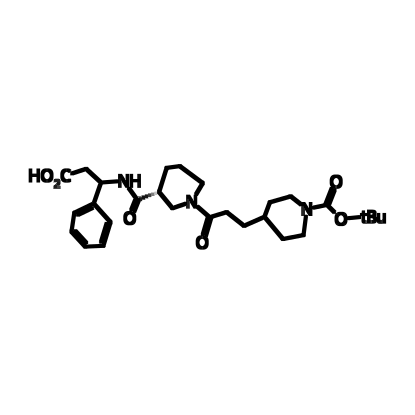 CC(C)(C)OC(=O)N1CCC(CCC(=O)N2CCC[C@@H](C(=O)NC(CC(=O)O)c3ccccc3)C2)CC1